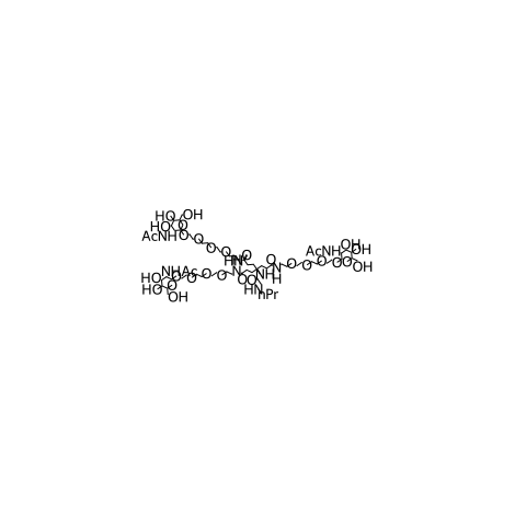 CCCNCC(=O)NC(CCC(=O)NCCOCCOCCOCCOC1OC(CO)C(O)C(O)C1NC(C)=O)(CCC(=O)NCCOCCOCCOCCOC1OC(CO)C(O)C(O)C1NC(C)=O)CCC(=O)NCCOCCOCCOCCOC1OC(CO)C(O)C(O)C1NC(C)=O